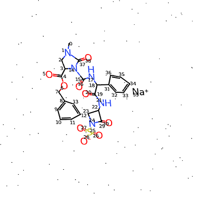 CN1CC(C(=O)OCc2ccccc2)N(C(=O)NC(C(=O)NC2CN(S(=O)(=O)[O-])C2=O)c2ccccc2)C1=O.[Na+]